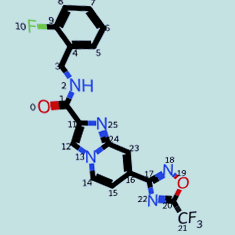 O=C(NCc1ccccc1F)c1cn2ccc(-c3noc(C(F)(F)F)n3)cc2n1